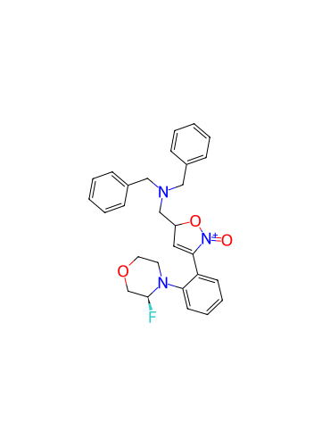 O=[N+]1OC(CN(Cc2ccccc2)Cc2ccccc2)C=C1c1ccccc1N1CCOC[C@@H]1F